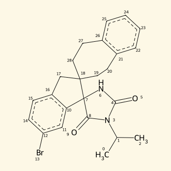 CC(C)N1C(=O)NC2(C1=O)c1cc(Br)ccc1CC21CCc2ccccc2CC1